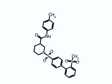 Cc1ccc(NC(=O)C2CCCN(S(=O)(=O)c3ccc(-c4ccccc4S(C)(=O)=O)cc3)C2)cc1